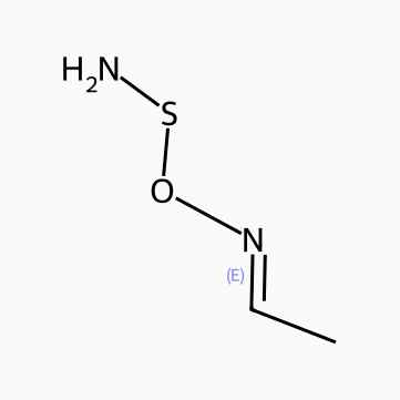 C/C=N/OSN